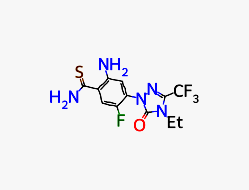 CCn1c(C(F)(F)F)nn(-c2cc(N)c(C(N)=S)cc2F)c1=O